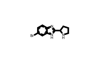 Brc1ccc2nc(C3CCCN3)[nH]c2c1